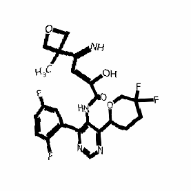 CC1(C(=N)/C=C(\O)C(=O)Nc2c(-c3cc(F)ccc3F)ncnc2C2CCC(F)(F)CO2)COC1